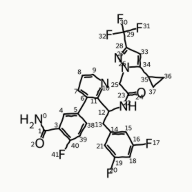 NC(=O)c1cc(-c2cccnc2C(Cc2cc(F)cc(F)c2)NC(=O)Cn2nc(C(F)(F)F)cc2C2CC2)ccc1F